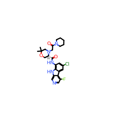 CC1(C)CN(CC(=O)N2CCCCC2)[C@H](C(=O)Nc2cc(Cl)cc3c2[nH]c2cncc(F)c23)CO1